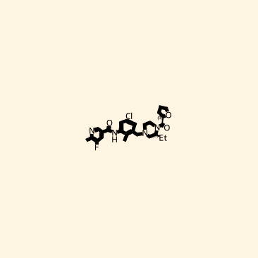 CC[C@H]1CN(Cc2cc(Cl)cc(NC(=O)c3cnc(C)c(F)c3)c2C)CCN1C(=O)[C@H]1CCCO1